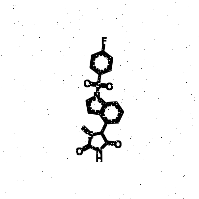 C=S1C(=O)NC(=O)C1c1cccc2c1ccn2S(=O)(=O)c1ccc(F)cc1